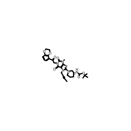 CC#CCn1c(N2CCC[C@@H](NC(=O)OC(C)(C)C)C2)nc2c1c(=O)n(CC(=O)c1cccc3c1OCCO3)c(=O)n2C